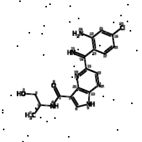 CC(CO)NC(=O)c1c[nH]c2ncc(C(=N)c3ccc(Cl)cc3N)nc12